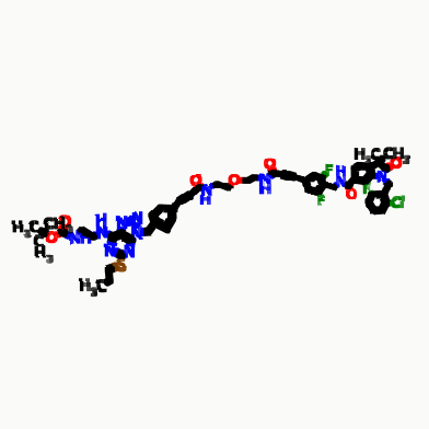 CCCSc1nc(NCCNC(=O)OC(C)(C)C)c2nnn(Cc3ccc(C#CC(=O)NCCOCCNC(=O)C#Cc4cc(F)c(CNC(=O)c5ccc6c(c5)N(Cc5c(F)cccc5Cl)C(=O)C6(C)C)c(F)c4)cc3)c2n1